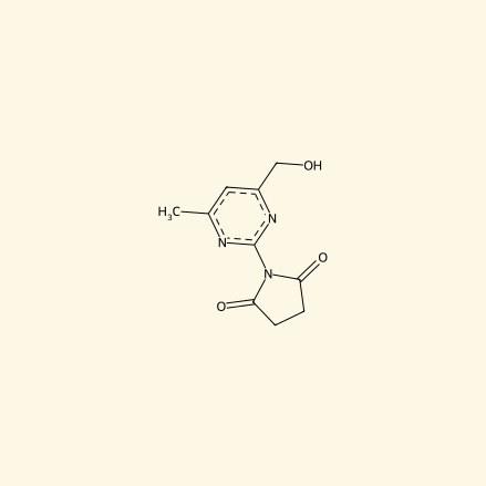 Cc1cc(CO)nc(N2C(=O)CCC2=O)n1